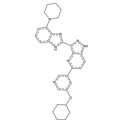 c1cc(N2CCCCC2)c2nc(-c3n[nH]c4ccc(-c5cncc(OC6CCCCC6)c5)nc34)[nH]c2c1